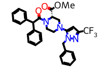 COC(=O)[C@@H]1CN(c2cc(C(F)(F)F)nn2Cc2ccccc2)CCN1C(=O)C(c1ccccc1)c1ccccc1